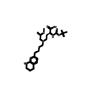 COC(C)CN(CCCCc1ccc2c(n1)NCCC2)CC[C@H](NC(=O)OC(C)(C)C)C(=O)O